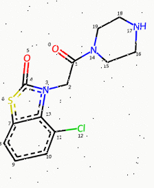 O=C(Cn1c(=O)sc2cccc(Cl)c21)N1CCNCC1